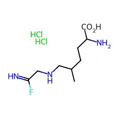 CC(CCC(N)C(=O)O)CNCC(=N)F.Cl.Cl